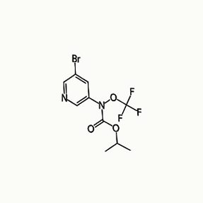 CC(C)OC(=O)N(OC(F)(F)F)c1cncc(Br)c1